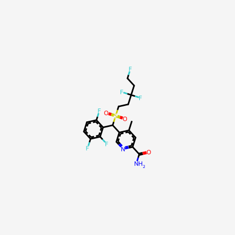 Cc1cc(C(N)=O)ncc1C(c1c(F)ccc(F)c1F)S(=O)(=O)CCC(F)(F)CCF